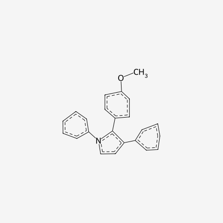 COc1ccc(-c2c(-c3ccccc3)ccn2-c2ccccc2)cc1